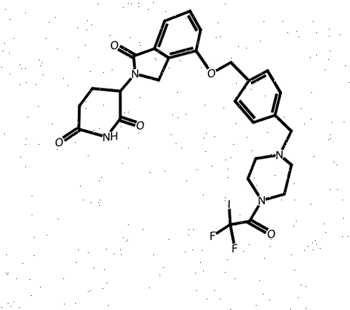 O=C1CCC(N2Cc3c(OCc4ccc(CN5CCN(C(=O)C(F)(F)I)CC5)cc4)cccc3C2=O)C(=O)N1